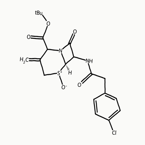 C=C1C[S+]([O-])[C@@H]2C(NC(=O)Cc3ccc(Cl)cc3)C(=O)N2C1C(=O)OC(C)(C)C